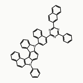 c1ccc(-c2nc(-c3ccc4ccccc4c3)nc(-c3ccc(-n4c5ccccc5c5c6c7c8ccccc8ccc7n(-c7ccccc7)c6ccc54)c4ccccc34)n2)cc1